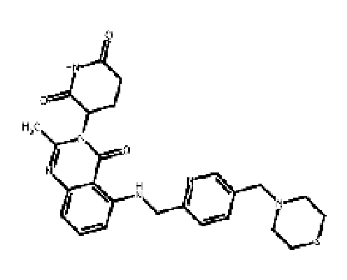 Cc1nc2cccc(NCc3ccc(CN4CCSCC4)cn3)c2c(=O)n1C1CCC(=O)NC1=O